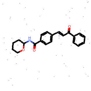 O=C(/C=C/c1ccc(C(=O)NC2CCCCO2)cc1)c1ccccc1